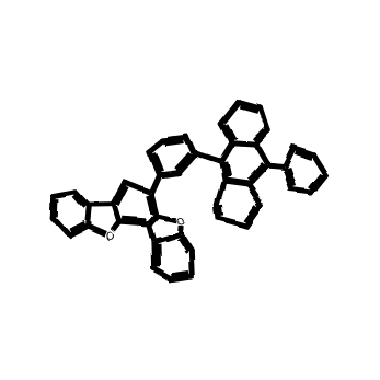 c1ccc(-c2c3ccccc3c(-c3cccc(-c4cc5c6ccccc6oc5c5c4oc4ccccc45)c3)c3ccccc23)cc1